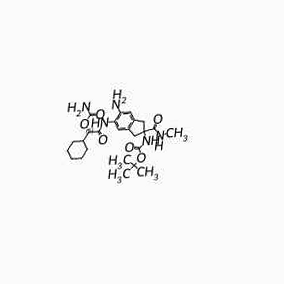 CNC(=O)C1(NC(=O)OC(C)(C)C)Cc2cc(N)c(NC(=O)[C@@H](OC(N)=O)C3CCCCC3)cc2C1